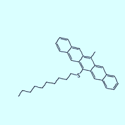 CCCCCCCCCCSc1c2cc3ccccc3cc2c(C)c2cc3ccccc3cc12